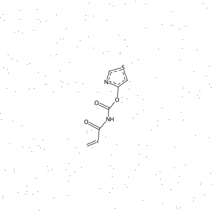 C=CC(=O)NC(=O)Oc1cscn1